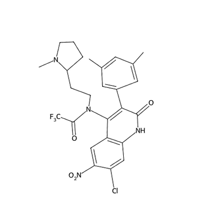 Cc1cc(C)cc(-c2c(N(CCC3CCCN3C)C(=O)C(F)(F)F)c3cc([N+](=O)[O-])c(Cl)cc3[nH]c2=O)c1